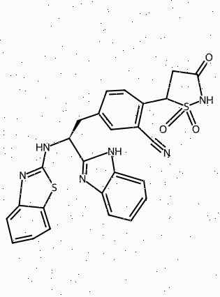 N#Cc1cc(C[C@H](Nc2nc3ccccc3s2)c2nc3ccccc3[nH]2)ccc1C1CC(=O)NS1(=O)=O